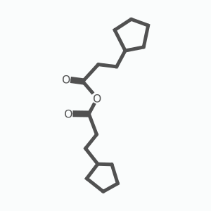 O=C(CCC1CCCC1)OC(=O)CCC1CCCC1